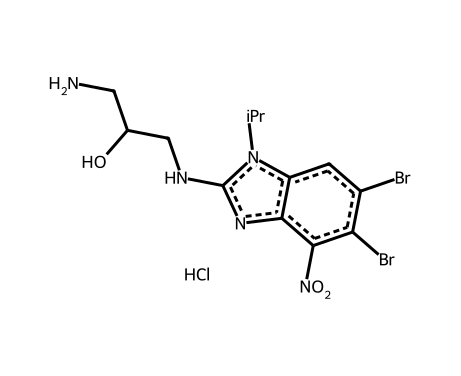 CC(C)n1c(NCC(O)CN)nc2c([N+](=O)[O-])c(Br)c(Br)cc21.Cl